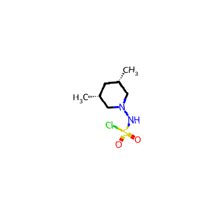 C[C@@H]1C[C@H](C)CN(NS(=O)(=O)Cl)C1